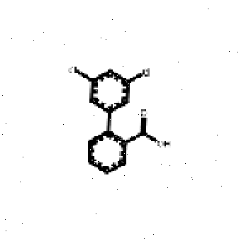 O=C(O)c1ccccc1-c1cc(Cl)cc(Cl)c1